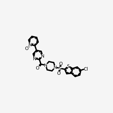 O=C(c1ncc(-c2cccc[n+]2[O-])cn1)N1CCN(S(=O)(=O)c2cc3ccc(Cl)cc3s2)CC1